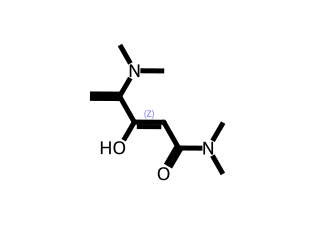 C=C(/C(O)=C/C(=O)N(C)C)N(C)C